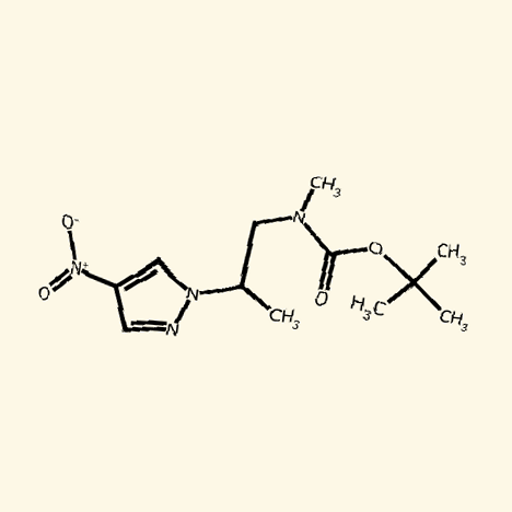 CC(CN(C)C(=O)OC(C)(C)C)n1cc([N+](=O)[O-])cn1